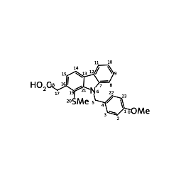 COc1ccc(Cn2c3ccccc3c3ccc(CC(=O)O)c(SC)c32)cc1